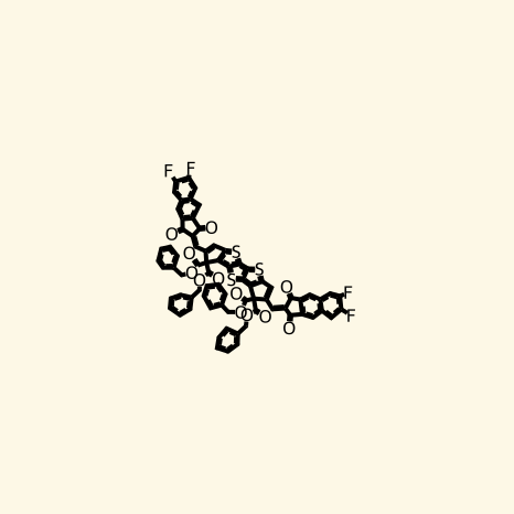 O=C1C(=CC2=Cc3sc4c(sc5c6c(sc54)C=C(C=C4C(=O)c5cc7cc(F)c(F)cc7cc5C4=O)C6(C(=O)OCc4ccccc4)C(=O)OCc4ccccc4)c3C2(C(=O)OCc2ccccc2)C(=O)OCc2ccccc2)C(=O)c2cc3cc(F)c(F)cc3cc21